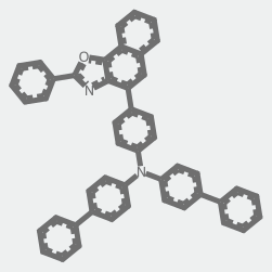 c1ccc(-c2ccc(N(c3ccc(-c4ccccc4)cc3)c3ccc(-c4cc5ccccc5c5oc(-c6ccccc6)nc45)cc3)cc2)cc1